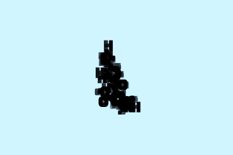 COC(=O)c1cc2c(cc1NC(=O)C1CCC(N3CCNC3)NN1)N(C)NC2